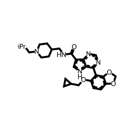 C[C](C)CN1CCC(CNC(=O)c2c[nH]c3c(-c4c(OCC5CC5)ccc5c4OCO5)ncnc23)CC1